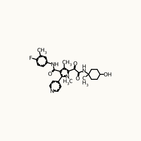 Cc1cc(NC(=O)c2c(C)c(C(=O)C(=O)NC3(C)CCC(O)CC3)n(C)c2-c2ccncc2)ccc1F